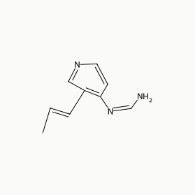 C/C=C/c1cnccc1/N=C\N